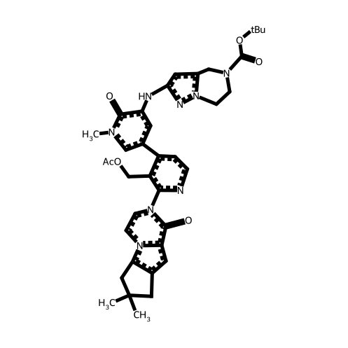 CC(=O)OCc1c(-c2cc(Nc3cc4n(n3)CCN(C(=O)OC(C)(C)C)C4)c(=O)n(C)c2)ccnc1-n1ccn2c3c(cc2c1=O)CC(C)(C)C3